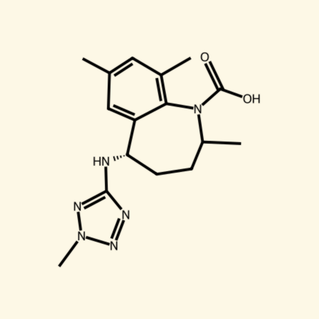 Cc1cc(C)c2c(c1)[C@@H](Nc1nnn(C)n1)CCC(C)N2C(=O)O